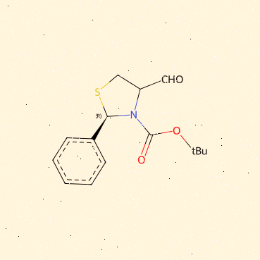 CC(C)(C)OC(=O)N1C(C=O)CS[C@@H]1c1ccccc1